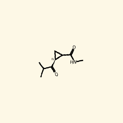 CNC(=O)C1C[C@@H]1C(=O)C(C)C